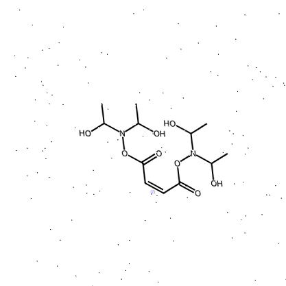 CC(O)N(OC(=O)/C=C\C(=O)ON(C(C)O)C(C)O)C(C)O